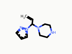 C=CC(N1CCNCC1)n1cccn1